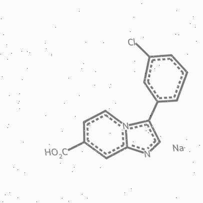 O=C(O)c1ccn2c(-c3cccc(Cl)c3)cnc2c1.[Na]